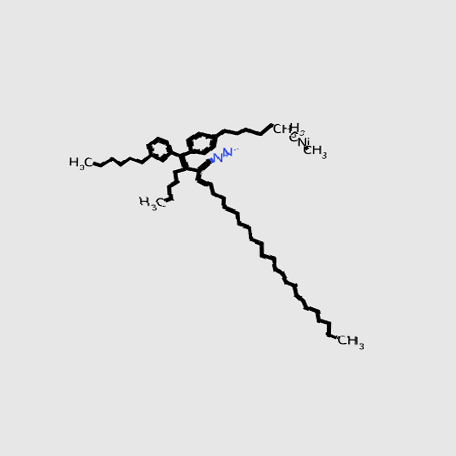 CCCCCCCCCCCCCCCCCCCCCCC=CC(=C=[N+]=[N-])C(CCCCC)=C(c1ccc(CCCCCC)cc1)c1cccc(CCCCCC)c1.[CH3][Ni][CH3]